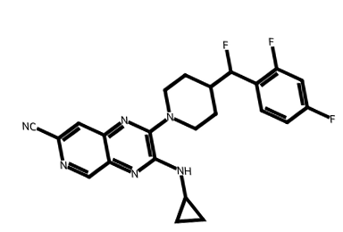 N#Cc1cc2nc(N3CCC(C(F)c4ccc(F)cc4F)CC3)c(NC3CC3)nc2cn1